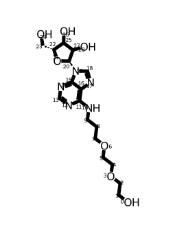 OCCOCCOCCCNc1ncnc2c1ncn2[C@@H]1O[C@H](CO)C(O)C1O